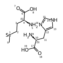 C[Se]CC[C@H](N)C(=O)O.N[C@@H](Cc1c[nH]cn1)C(=O)O